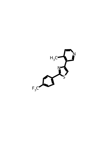 Cc1ccncc1-c1csc(-c2ccc(C(F)(F)F)cc2)n1